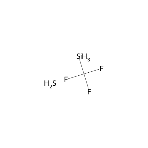 FC(F)(F)[SiH3].S